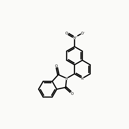 O=C1c2ccccc2C(=O)N1c1nccc2cc([N+](=O)[O-])ccc12